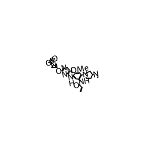 C=CC(=O)Nc1cc(Nc2ncnc(OC3CN(S(C)(=O)=O)C3)n2)c(OC)cc1N1CCC(N(C)C)CC1